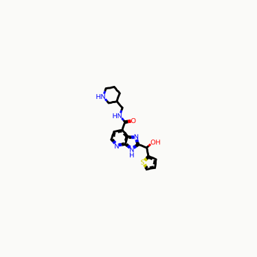 O=C(NCC1CCCNC1)c1ccnc2[nH]c(C(O)c3cccs3)nc12